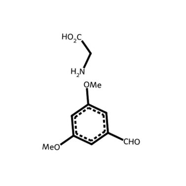 COc1cc(C=O)cc(OC)c1.NCC(=O)O